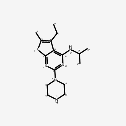 CCc1c(C)sc2nc(N3CCNCC3)nc(NC(C)C)c12